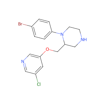 Clc1cncc(OCC2CNCCN2c2ccc(Br)cc2)c1